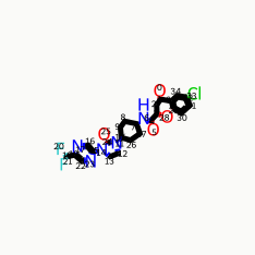 O=C1CC(C(=O)N[C@H]2CC[C@H](N3CCN(c4cnc(C(F)F)cn4)C3=O)CC2)Oc2ccc(Cl)cc21